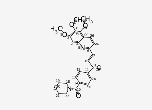 COc1cc2nc(C=CC(=O)c3ccc(C(=O)N4CCSCC4)cc3)ccc2c(OC)c1OC